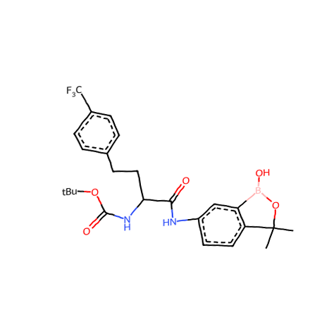 CC(C)(C)OC(=O)NC(CCc1ccc(C(F)(F)F)cc1)C(=O)Nc1ccc2c(c1)B(O)OC2(C)C